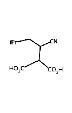 CC(C)CC(C#N)C(C(=O)O)C(=O)O